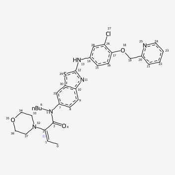 C/C=C(\C(=O)N(CCCC)c1ccc2nc(Nc3ccc(OCc4ccccn4)c(Cl)c3)sc2c1)N1CCOCC1